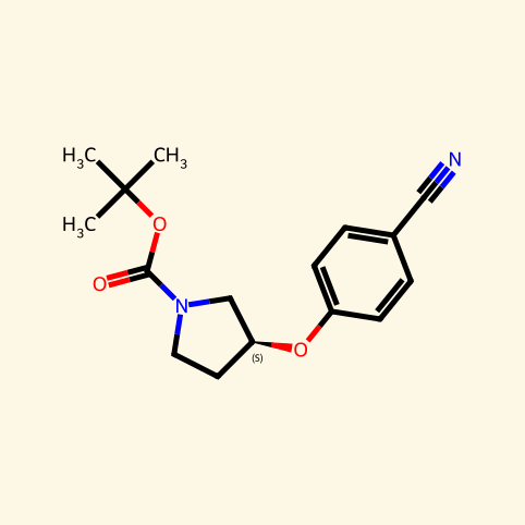 CC(C)(C)OC(=O)N1CC[C@H](Oc2ccc(C#N)cc2)C1